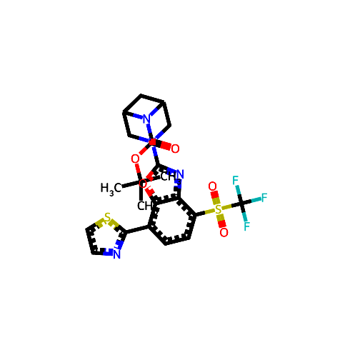 CC(C)(C)OC(=O)N1C2CC1CN(c1nc3c(S(=O)(=O)C(F)(F)F)ccc(-c4nccs4)c3o1)C2